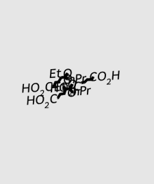 CCCOC(=O)C(CC)CCCC(=O)O.CCCOC(=O)C(CC)CCCC(=O)O.O=C(O)CCCCC(=O)O